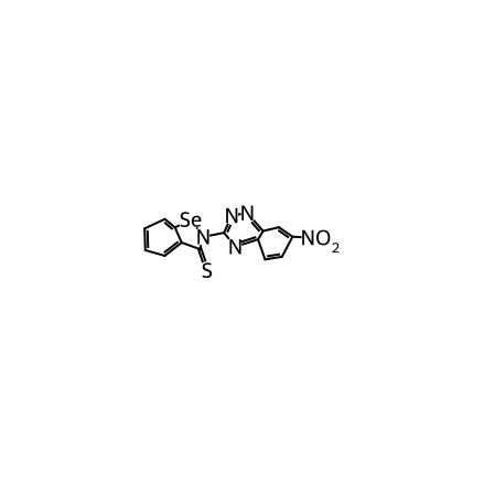 O=[N+]([O-])c1ccc2nc(-n3[se]c4ccccc4c3=S)nnc2c1